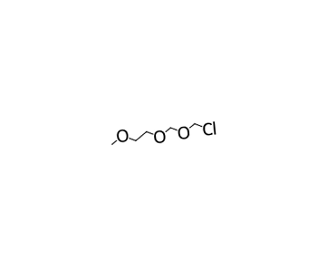 COCCOCOCCl